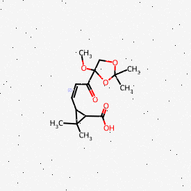 COC1(C(=O)/C=C\C2C(C(=O)O)C2(C)C)COC(C)(C)O1